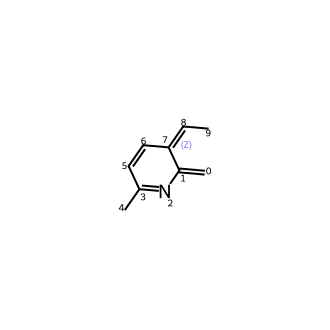 C=c1nc(C)cc/c1=C/C